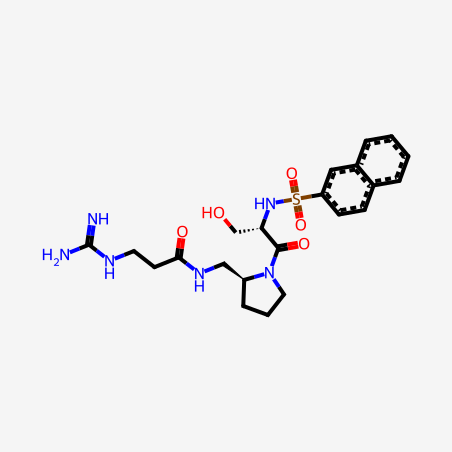 N=C(N)NCCC(=O)NC[C@@H]1CCCN1C(=O)[C@H](CO)NS(=O)(=O)c1ccc2ccccc2c1